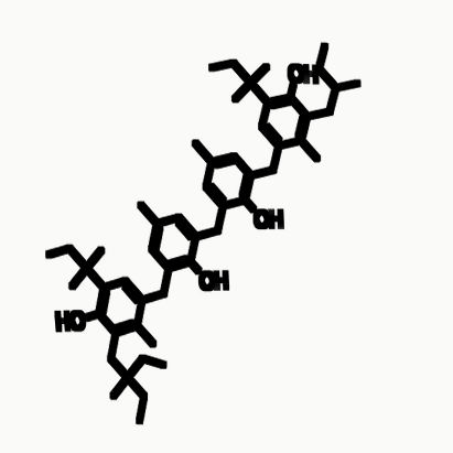 CCC(C)Cc1c(C)c(Cc2cc(C)cc(Cc3cc(C)cc(Cc4cc(C(C)(C)CC)c(O)c(CC(C)(CC)CC)c4C)c3O)c2O)cc(C(C)(C)CC)c1O